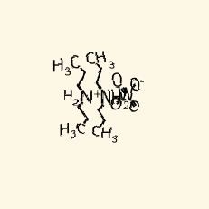 CCC[NH2+]CCC.CCC[NH2+]CCC.[O]=[W](=[O])([O-])[O-]